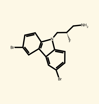 NC[C@H](F)Cn1c2ccc(Br)cc2c2cc(Br)ccc21